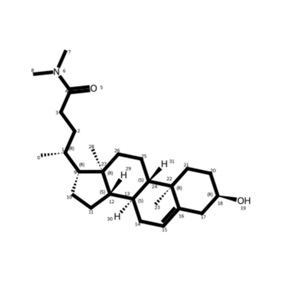 C[C@H](CCC(=O)N(C)C)[C@H]1CC[C@H]2[C@@H]3CC=C4C[C@H](O)CC[C@]4(C)[C@H]3CC[C@]12C